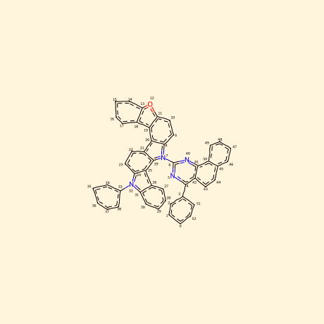 c1ccc(-c2nc(-n3c4ccc5oc6ccccc6c5c4c4ccc5c(c6ccccc6n5-c5ccccc5)c43)nc3c2ccc2ccccc23)cc1